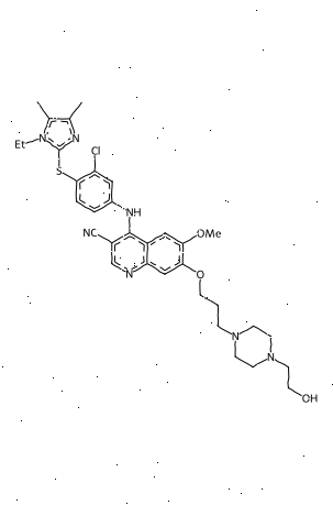 CCn1c(Sc2ccc(Nc3c(C#N)cnc4cc(OCCCN5CCN(CCO)CC5)c(OC)cc34)cc2Cl)nc(C)c1C